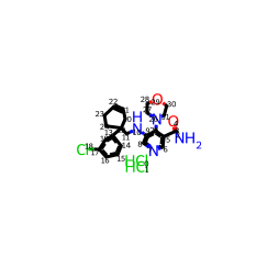 Cl.Cl.NC(=O)c1cncc(NCC2(c3cccc(Cl)c3)CC#CCC2)c1N1CCOCC1